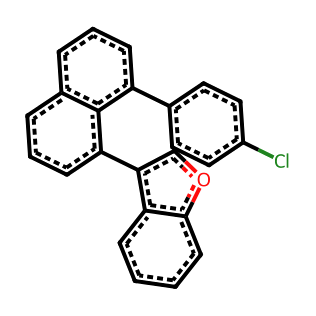 Clc1ccc(-c2cccc3cccc(-c4coc5ccccc45)c23)cc1